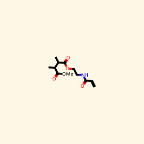 C=CC(=O)NCCOC(=O)C(C)C(C)C(=O)OC